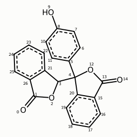 O=C1O[C](C2(c3ccc(O)cc3)OC(=O)c3ccccc32)c2ccccc21